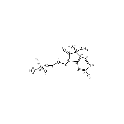 CC1(C)C(=O)N(COCCS(C)(=O)=O)c2cc(Cl)ncc21